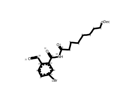 CCCCCCCCCCCCCCCCCC(=O)NC(=O)c1cc(Br)ccc1I=O